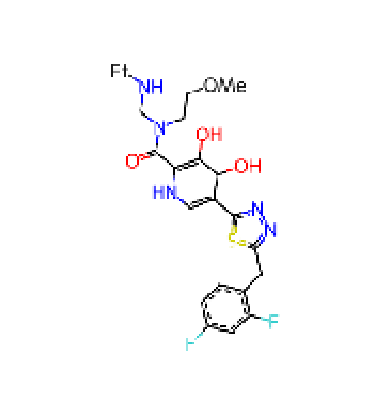 CCNCN(CCOC)C(=O)C1=C(O)C(O)C(c2nnc(Cc3ccc(F)cc3F)s2)=CN1